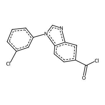 O=C(Cl)c1ccc2c(c1)ncn2-c1cccc(Cl)c1